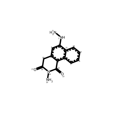 NNc1cc2c(c3ccccc13)C(=O)N(N)C(=O)C2